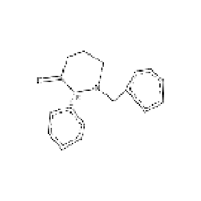 O=C1CCCN(Cc2ccccc2)[C@@H]1c1ccccc1